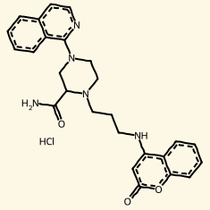 Cl.NC(=O)C1CN(c2nccc3ccccc23)CCN1CCCNc1cc(=O)oc2ccccc12